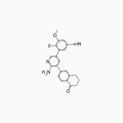 COc1cc(C#N)cc(-c2cnc(N)c(-c3ccc4c(c3)CCCC4=O)c2)c1F